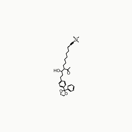 CC(=O)C(CCCCCCCC#C[Si](C)(C)C)C(O)CCc1ccc(C2(c3ccccc3)OCCO2)cc1